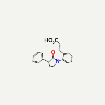 O=C(O)C=Cc1ccccc1N1CCC(c2ccccc2)C1=O